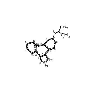 CC(C)Oc1ccc2c(c1)c1ccccc1c1c[nH]nc21